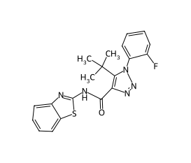 CC(C)(C)c1c(C(=O)Nc2nc3ccccc3s2)nnn1-c1ccccc1F